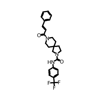 O=C(/C=C/c1ccccc1)N1CCC2(CC1)CCN(C(=O)Nc1ccc(C(F)(F)F)cc1)C2